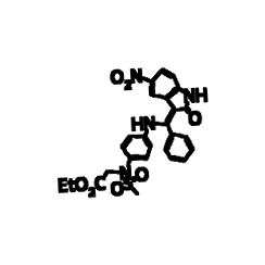 CCOC(=O)CN(c1ccc(NC(=C2C(=O)Nc3ccc([N+](=O)[O-])cc32)c2ccccc2)cc1)S(C)(=O)=O